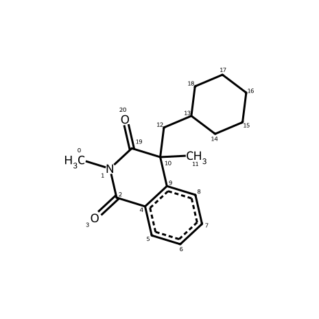 CN1C(=O)c2ccccc2C(C)(CC2CCCCC2)C1=O